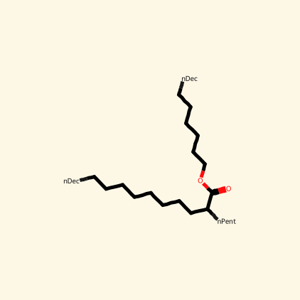 CCCCCCCCCCCCCCCCCCC(CCCCC)C(=O)OCCCCCCCCCCCCCCCC